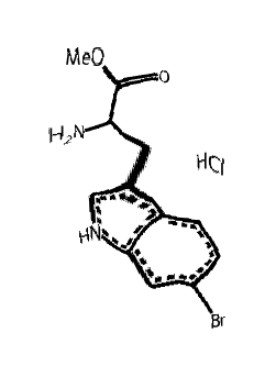 COC(=O)C(N)Cc1c[nH]c2cc(Br)ccc12.Cl